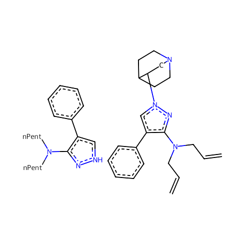 C=CCN(CC=C)c1nn(C2CN3CCC2CC3)cc1-c1ccccc1.CCCCCN(CCCCC)c1n[nH]cc1-c1ccccc1